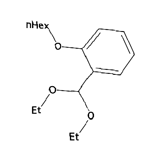 CCCCCCOc1ccccc1C(OCC)OCC